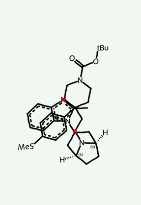 CSc1ccc(C2(CCN3[C@@H]4CC[C@H]3CC(n3c(C)nc5ccccc53)C4)CCN(C(=O)OC(C)(C)C)CC2)cc1